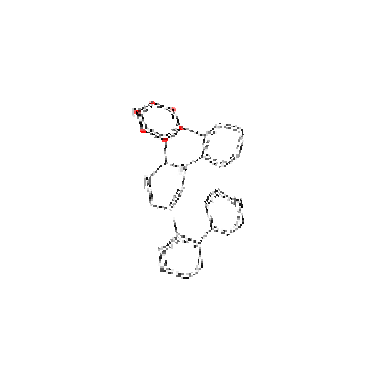 C1=NC(c2ccccc2)N(c2ccccc2-c2ccncc2)C=C1c1ccccc1-c1ccncc1